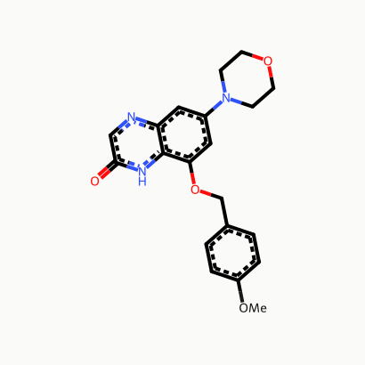 COc1ccc(COc2cc(N3CCOCC3)cc3ncc(=O)[nH]c23)cc1